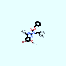 CCc1nc(N(CCC(C)C)C(=O)OCc2ccccc2)nc2c(OC)cc(Br)cc12